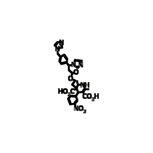 CC1=C(C(=O)O)C(c2cccc([N+](=O)[O-])c2)C(CCOC(=O)CC(c2ccc(Cn3ccnc3)cc2)n2ccnc2)(C(=O)O)C(C)N1